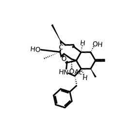 C=C1[C@@H](C)[C@H]2[C@H](Cc3ccccc3)NC(=O)C23[C@H](OC(C)=O)/C=C/[C@@](C)(O)C[C@@H](C)C/C=C/[C@H]3[C@@H]1O